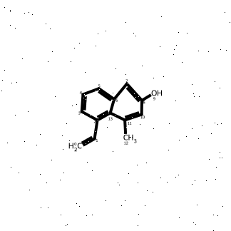 C=Cc1cccc2cc(O)cc(C)c12